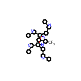 Fc1cccc(F)c1-c1c(-n2c3ccc(-c4ccnc(-c5ccccc5)c4)cc3c3cc(-c4ccnc(-c5ccccc5)c4)ccc32)cc(C(F)(F)F)cc1-n1c2ccc(-c3ccnc(-c4ccccc4)c3)cc2c2cc(-c3ccnc(-c4ccccc4)c3)ccc21